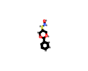 O=NSC1COC(c2ccccc2)OC1